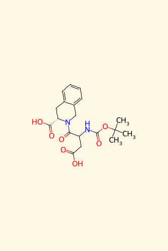 CC(C)(C)OC(=O)NC(CC(=O)O)C(=O)N1Cc2ccccc2C[C@H]1C(=O)O